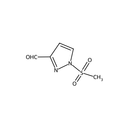 CS(=O)(=O)n1ccc(C=O)n1